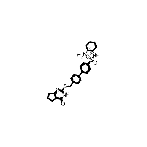 N[C@@H]1CCCC[C@@H]1NS(=O)(=O)c1ccc(-c2ccc(CSc3nc4c(c(=O)[nH]3)CCC4)cc2)cc1